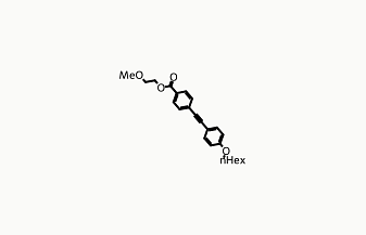 CCCCCCOc1ccc(C#Cc2ccc(C(=O)OCCOC)cc2)cc1